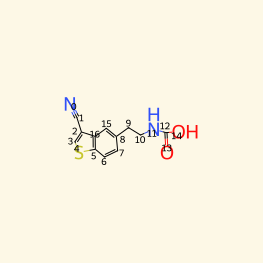 N#Cc1csc2ccc(CCNC(=O)O)cc12